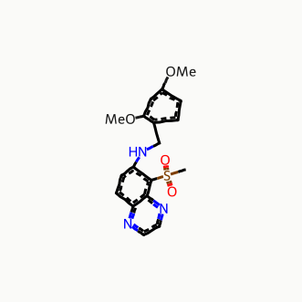 COc1ccc(CNc2ccc3nccnc3c2S(C)(=O)=O)c(OC)c1